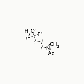 CC(=O)N(C)CCCC(C)(F)F